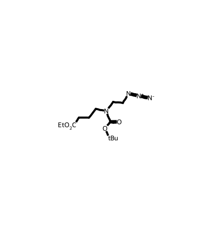 CCOC(=O)CCCN(CCN=[N+]=[N-])C(=O)OC(C)(C)C